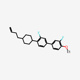 C=CCCC1CCC(c2ccc(-c3ccc(OCC)c(F)c3)cc2F)CC1